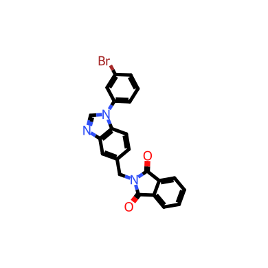 O=C1c2ccccc2C(=O)N1Cc1ccc2c(c1)ncn2-c1cccc(Br)c1